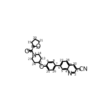 N#Cc1cnc2cc(-c3ccc(OC4CCN(C(=O)[C@H]5CCCO5)CC4)cc3)ccc2c1